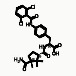 CC1(C)[C@@H](C(=O)N[C@@H](Cc2ccc(NC(=O)c3c(Cl)cccc3Cl)cc2)C(=O)O)CC[C@@]1(C)C(N)=O